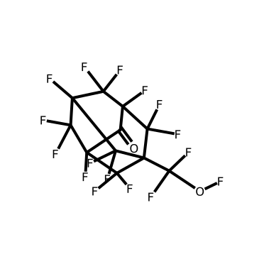 O=C1C2(F)C(F)(F)C3(F)C(F)(F)C1(F)C(F)(F)C(C(F)(F)OF)(C2(F)F)C3(F)F